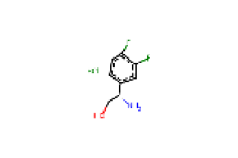 Cl.N[C@H](CO)c1ccc(F)c(F)c1